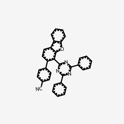 N#Cc1ccc(-c2ccc3c(oc4ccccc43)c2-c2nc(-c3ccccc3)nc(-c3ccccc3)n2)cc1